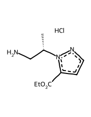 CCOC(=O)c1ccnn1[C@@H](C)CN.Cl